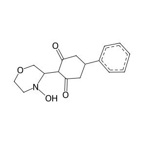 O=C1CC(c2ccccc2)CC(=O)C1C1COCCN1O